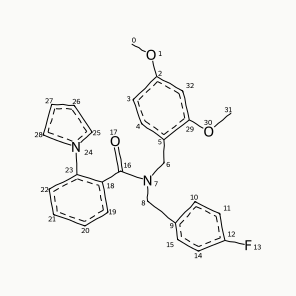 COc1ccc(CN(Cc2ccc(F)cc2)C(=O)c2ccccc2-n2cccc2)c(OC)c1